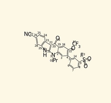 CC(C)n1c2cc(-c3cccc(S(=O)(=O)F)c3)c(OC(F)(F)F)cc2c(=O)c2c3ccc(C#N)cc3[nH]c21